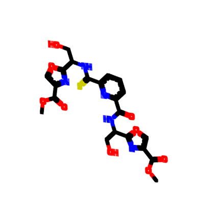 COC(=O)c1coc(C(CO)NC(=O)c2cccc(C(=S)NC(CO)c3nc(C(=O)OC)co3)n2)n1